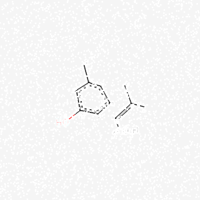 CC(C)=CC(=O)O.Cc1cccc(O)c1